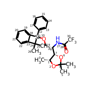 C[C@H]1OC(C)(C)O[C@H]1[C@H](CO[Si]1(c2ccccc2)c2ccccc2C1(C)C)NC(=O)C(F)(F)F